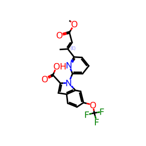 COC(=O)/C=C(\C)c1cccc(-n2c(C(=O)O)cc3ccc(OC(F)(F)F)cc32)n1